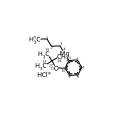 CCC[CH2][Mg][c]1ccccc1OC(C)(C)C.Cl